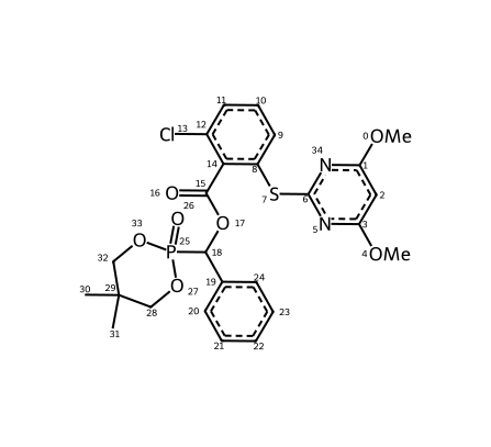 COc1cc(OC)nc(Sc2cccc(Cl)c2C(=O)OC(c2ccccc2)P2(=O)OCC(C)(C)CO2)n1